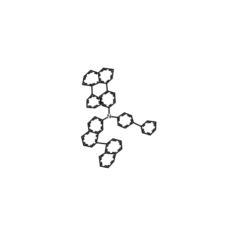 c1ccc(-c2ccc(N(c3ccc(-c4cccc5cccc(-c6ccccc6)c45)cc3)c3ccc4cccc(-c5cccc6ccccc56)c4c3)cc2)cc1